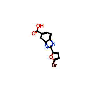 O=C(O)C1=CC=C2N=C(c3ccc(Br)o3)N=C2C1